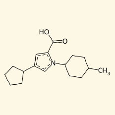 CC1CC[C](n2cc(C3CCCC3)cc2C(=O)O)CC1